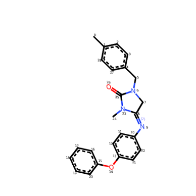 Cc1ccc(CN2C/C(=N/c3ccc(Oc4ccccc4)cc3)N(C)C2=O)cc1